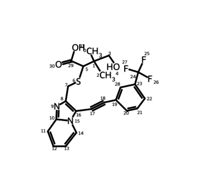 CC(C)(CO)C(SCc1nc2ccccn2c1C#Cc1cccc(C(F)(F)F)c1)C(=O)O